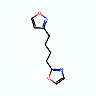 [CH](CCc1ncco1)Cc1ccon1